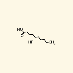 CCCCCCCCCC(=O)O.F